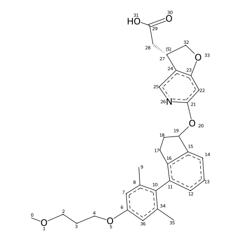 COCCCOc1cc(C)c(-c2cccc3c2CCC3Oc2cc3c(cn2)[C@H](CC(=O)O)CO3)c(C)c1